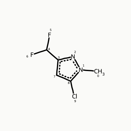 Cn1nc(C(F)F)cc1Cl